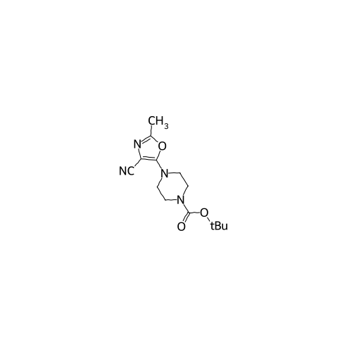 Cc1nc(C#N)c(N2CCN(C(=O)OC(C)(C)C)CC2)o1